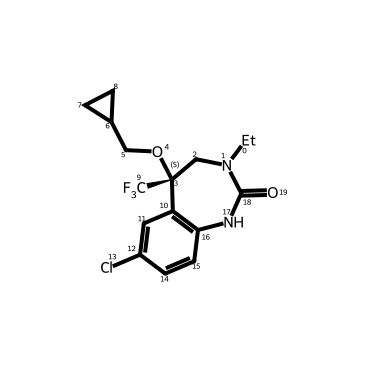 CCN1C[C@](OCC2CC2)(C(F)(F)F)c2cc(Cl)ccc2NC1=O